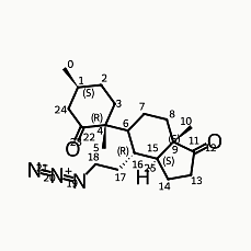 C[C@H]1CC[C@](C)(C2CC[C@]3(C)C(=O)CC[C@H]3[C@@H]2CCN=[N+]=[N-])C(=O)C1